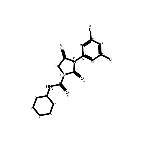 O=C(NC1CCCCC1)N1CC(=O)N(c2cc(Cl)cc(Cl)c2)C1=O